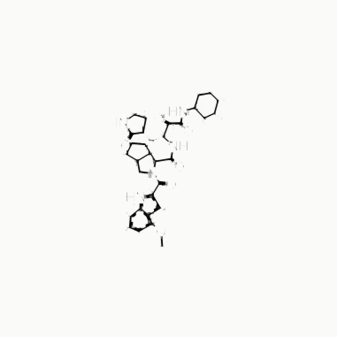 COc1cccc2[nH]c(C(=O)N3CC4CCCC4C3C(=O)N[C@@H](C[C@@H]3CCNC3=O)C(=O)C(=O)NC3CCCCC3)cc12